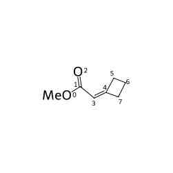 COC(=O)C=C1CCC1